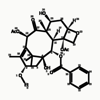 CCO[C@H]1C[C@@]2(O)[C@@H](OC(=O)c3ccccc3)[C@@H]3[C@]4(OC(C)=O)CO[C@@H]4C[C@H](O)[C@@]3(C)C(=O)[C@H](OC(C)=O)C(=C1C)C2(C)C